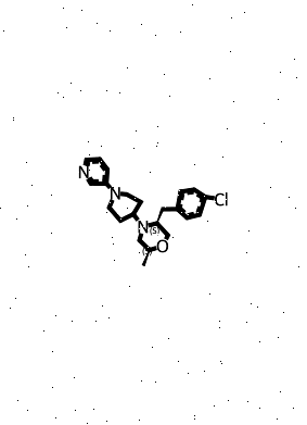 C[C@H]1CN(C2CCN(c3cccnc3)CC2)[C@@H](Cc2ccc(Cl)cc2)CO1